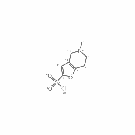 CN1CCc2sc(S(=O)(=O)Cl)cc2C1